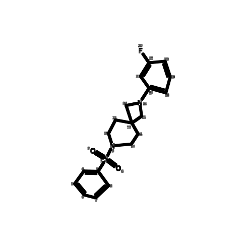 O=S(=O)(c1ccccc1)N1CCC2(CC1)CN(c1cccc(F)c1)C2